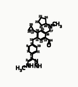 CN/C=C(\N=N)c1ccc(Cc2cc(C=O)c(CN(C)C3CCCC3)cc2C2CC2)cc1